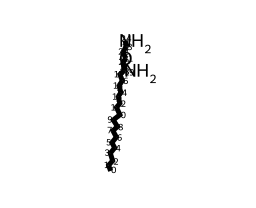 CCCCCCCCCCCCCCCCCCC(N)COCCN